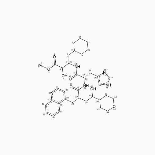 CC(C)OC(=O)C(O)[C@H](CC1CCCCC1)NC(=O)[C@H](Cc1c[nH]cn1)NC(=O)C(Cc1cccc2ccccc12)CC(O)C1CCOCC1